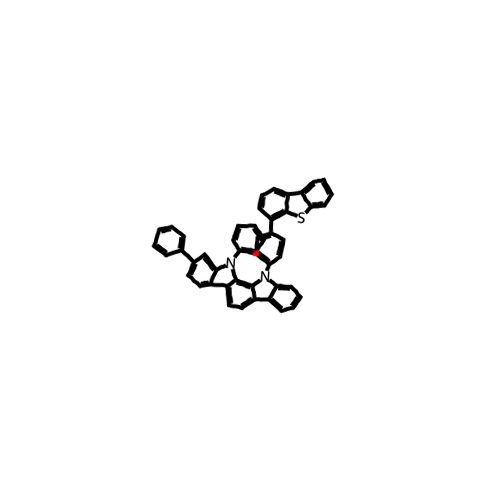 c1ccc(-c2ccc3c4ccc5c6ccccc6n(-c6ccc(-c7cccc8c7sc7ccccc78)cc6)c5c4n(-c4ccccc4)c3c2)cc1